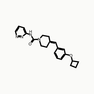 O=C(Nc1cccnn1)N1CCC(=Cc2cccc(OC3CCC3)c2)CC1